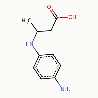 CC(CC(=O)O)Nc1ccc(N)cc1